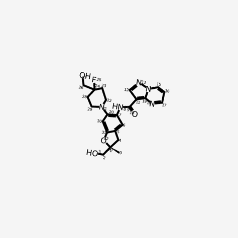 C[C@]1(CO)Cc2cc(NC(=O)c3cnn4cccnc34)c(N3CCC(F)(CO)CC3)cc2O1